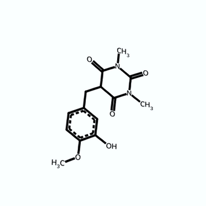 COc1ccc(CC2C(=O)N(C)C(=O)N(C)C2=O)cc1O